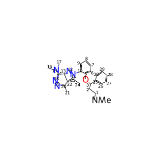 CNCCC(Oc1ccccc1-n1nc2c(N(C)C)nnc(C)c2c1C)c1ccccc1